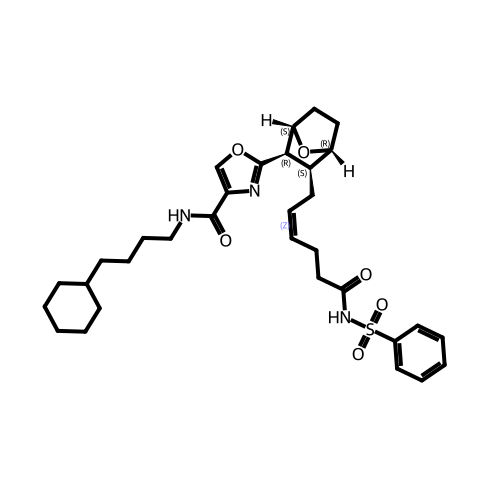 O=C(CC/C=C\C[C@H]1[C@@H](c2nc(C(=O)NCCCCC3CCCCC3)co2)[C@@H]2CC[C@H]1O2)NS(=O)(=O)c1ccccc1